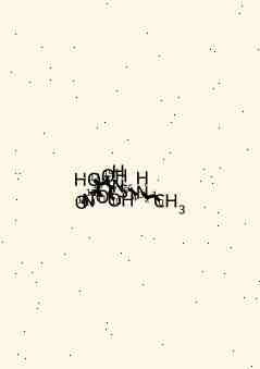 CCCNCCSNC1C(O)OC(CN=O)C(O)C1O